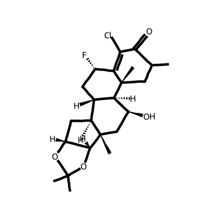 CC1C[C@@]2(C)C(=C(Cl)C1=O)[C@@H](F)C[C@@H]1[C@@H]2[C@@H](O)C[C@]2(C)[C@@H]3OC(C)(C)O[C@@H]3C[C@@H]12